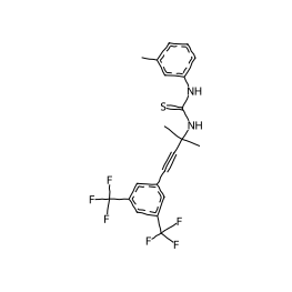 Cc1cccc(NC(=S)NC(C)(C)C#Cc2cc(C(F)(F)F)cc(C(F)(F)F)c2)c1